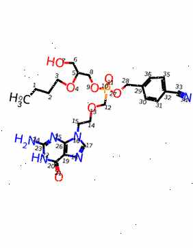 CCCCOC(CO)COP(=O)(COCCn1cnc2c(=O)[nH]c(N)nc21)OCc1ccc(C#N)cc1